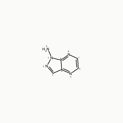 Nn1ncc2nccnc21